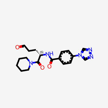 O=CCC[C@H](NC(=O)c1ccc(-n2cnnc2)cc1)C(=O)N1CCCCC1